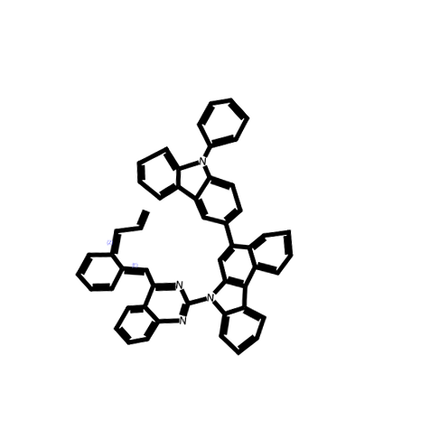 C=C/C=c1/cccc/c1=C\c1nc(-n2c3ccccc3c3c4ccccc4c(-c4ccc5c(c4)c4ccccc4n5-c4ccccc4)cc32)nc2ccccc12